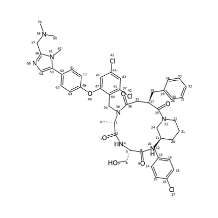 C[C@H]1C(=O)N[C@@H](CO)C(=O)N[C@@]2(Cc3ccc(Cl)cc3)CCCN(C2)C(=O)[C@H](Cc2ccccc2)CC(=O)N1Cc1c(Cl)cc(Cl)cc1Oc1ccc(-c2cnc(CN(C)C)n2C)cc1